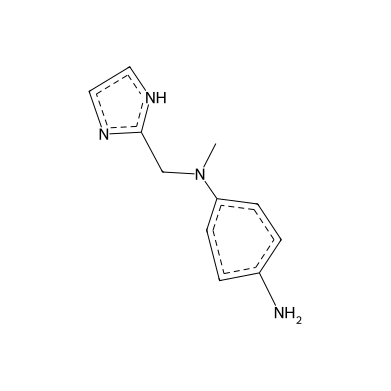 CN(Cc1ncc[nH]1)c1ccc(N)cc1